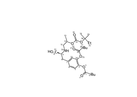 CCC(C)C(=O)Oc1ccc(C[C@H](NCC(C)OC(=O)OC(C)(C)CC)C(=O)O)cc1OC(=O)C(C)CC